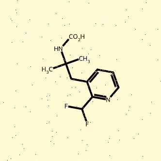 CC(C)(Cc1cccnc1C(F)F)NC(=O)O